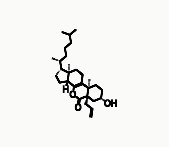 C=CC[C@]12C[C@@H](O)CC[C@]1(C)C1=C(OC2=O)[C@@H]2CC[C@H]([C@H](C)CCCC(C)C)[C@@]2(C)CC1